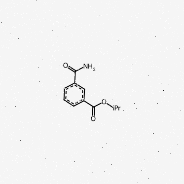 CC(C)OC(=O)c1cccc(C(N)=O)c1